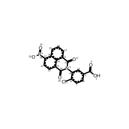 O=C(O)c1ccc(Cl)c(N2C(=O)c3cccc4c([N+](=O)[O-])ccc(c34)C2=O)c1